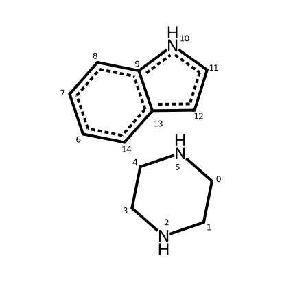 C1CNCCN1.c1ccc2[nH]ccc2c1